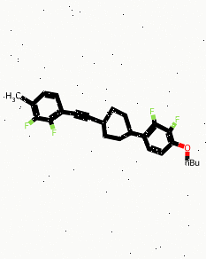 CCCCOc1ccc(C2CCC(C#Cc3ccc(C)c(F)c3F)CC2)c(F)c1F